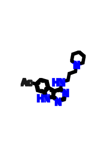 CC(=O)c1ccc2c(c1)[nH]c1ncnc(NCCCN3CCCCC3)c12